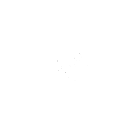 CC(C)(C)OC(=O)N1C(C(=O)Nc2nc(Br)ccc2C2CC2)CC2(C)CC12